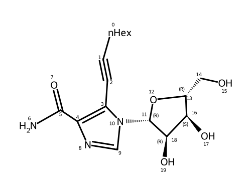 CCCCCCC#Cc1c(C(N)=O)ncn1[C@@H]1O[C@H](CO)[C@@H](O)[C@H]1O